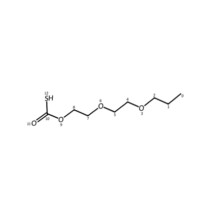 CCCOCCOCCOC(=O)S